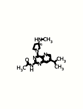 CN[C@@H]1CCN(c2nc(NC(C)=O)nc3cc(C(C)C)cnc23)C1